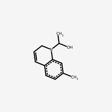 Cc1ccc2c(c1)N(C(C)O)CC=C2